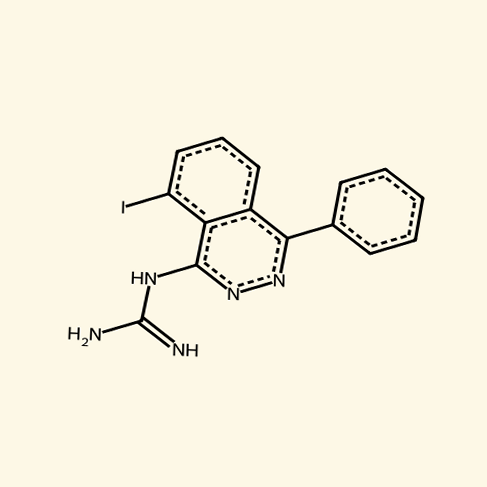 N=C(N)Nc1nnc(-c2ccccc2)c2cccc(I)c12